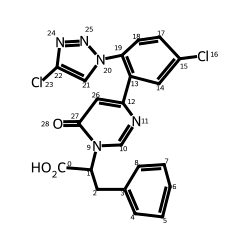 O=C(O)C(Cc1ccccc1)n1cnc(-c2cc(Cl)ccc2-n2cc(Cl)nn2)cc1=O